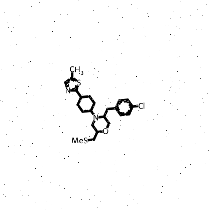 CSCC1CN(C2CCC(c3ncc(C)s3)CC2)C(Cc2ccc(Cl)cc2)CO1